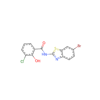 O=C(Nc1nc2ccc(Br)cc2s1)c1cccc(Cl)c1O